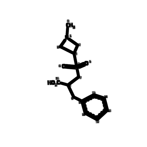 CN1CC(S(=O)(=O)CC(Cc2ccccc2)C(=O)O)C1